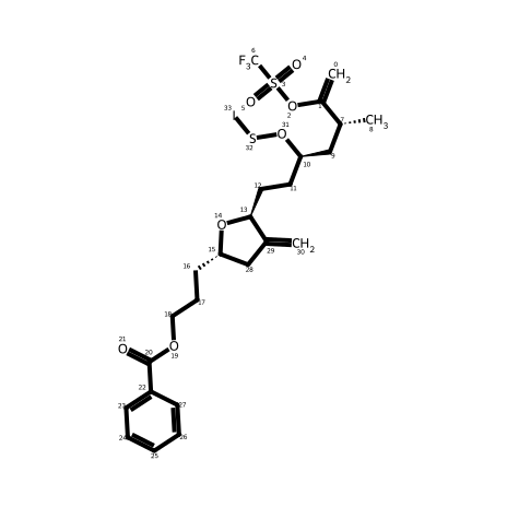 C=C(OS(=O)(=O)C(F)(F)F)[C@H](C)C[C@@H](CC[C@@H]1O[C@@H](CCCOC(=O)c2ccccc2)CC1=C)OSI